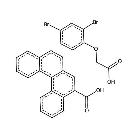 O=C(O)COc1ccc(Br)cc1Br.O=C(O)c1cc2ccc3ccccc3c2c2ccccc12